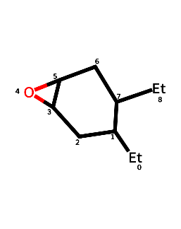 CCC1CC2OC2CC1CC